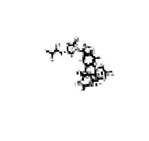 CC(=O)NC[C@H]1CN(c2noc3c(F)c4c(cc23)CC2(C(=O)NC(=O)NC2=O)[C@H]2[C@H](C)O[C@H](C)CN42)C(=O)S1